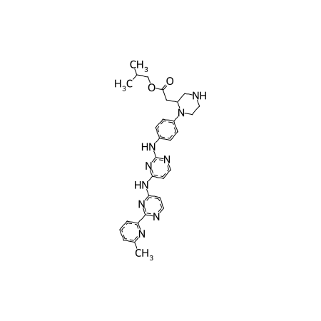 Cc1cccc(-c2nccc(Nc3ccnc(Nc4ccc(N5CCNCC5CC(=O)OCC(C)C)cc4)n3)n2)n1